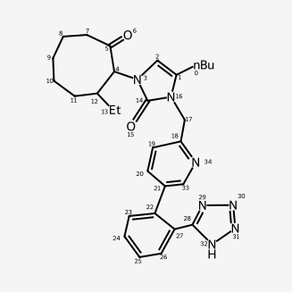 CCCCc1cn(C2C(=O)CCCCCC2CC)c(=O)n1Cc1ccc(-c2ccccc2-c2nnn[nH]2)cn1